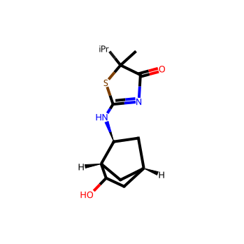 CC(C)C1(C)SC(N[C@H]2C[C@@H]3CC(O)[C@H]2C3)=NC1=O